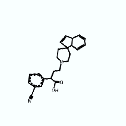 N#Cc1cccc(C(CCN2CCC3(C=CC4C=CC=CC43)CC2)C(=O)O)c1